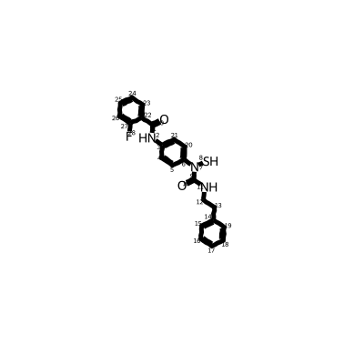 O=C(Nc1ccc(N(S)C(=O)NCCc2ccccc2)cc1)c1ccccc1F